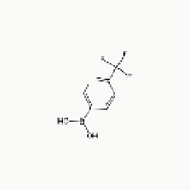 C=C(/C=C\C(=C/C)B(O)O)C(F)(F)F